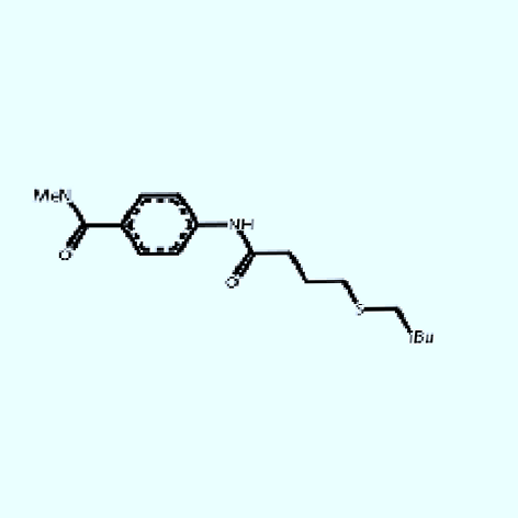 CCC(C)CSCCCC(=O)Nc1ccc(C(=O)NC)cc1